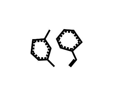 C=Cc1ccccc1.Cc1cccc(C)c1